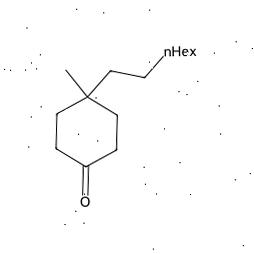 CCCCCCCCC1(C)CCC(=O)CC1